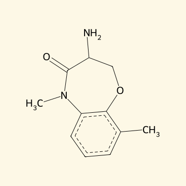 Cc1cccc2c1OCC(N)C(=O)N2C